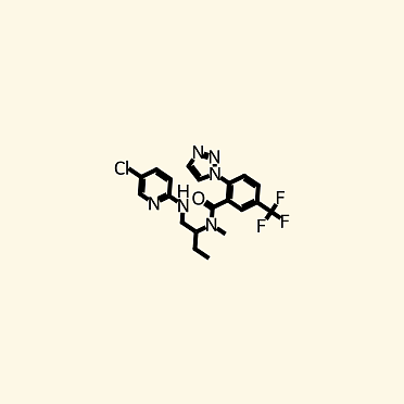 CCC(CNc1ccc(Cl)cn1)N(C)C(=O)c1cc(C(F)(F)F)ccc1-n1ccnn1